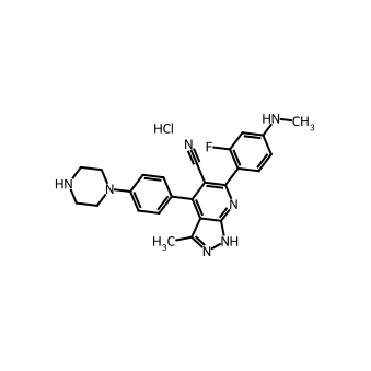 CNc1ccc(-c2nc3[nH]nc(C)c3c(-c3ccc(N4CCNCC4)cc3)c2C#N)c(F)c1.Cl